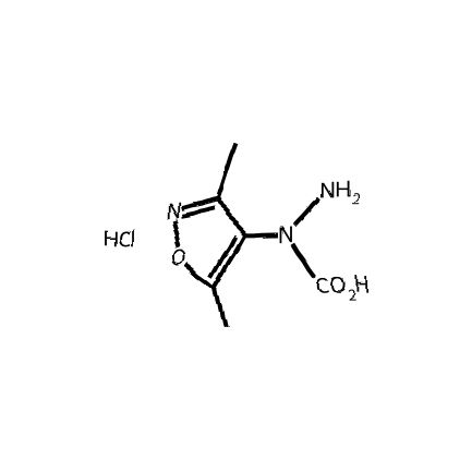 Cc1noc(C)c1N(N)C(=O)O.Cl